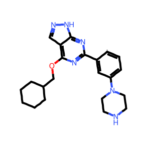 [c]1ccc(N2CCNCC2)cc1-c1nc(OCC2CCCCC2)c2cn[nH]c2n1